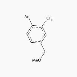 COCc1ccc(C(C)=O)c(C(F)(F)F)c1